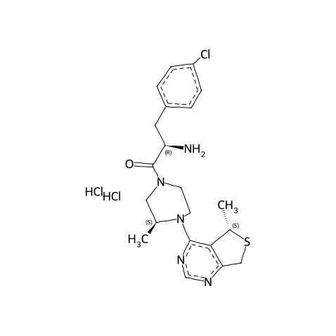 C[C@@H]1SCc2ncnc(N3CCN(C(=O)[C@H](N)Cc4ccc(Cl)cc4)C[C@@H]3C)c21.Cl.Cl